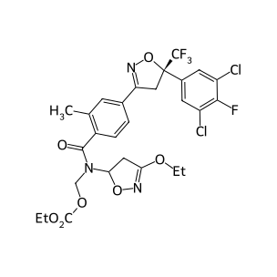 CCOC(=O)OCN(C(=O)c1ccc(C2=NO[C@@](c3cc(Cl)c(F)c(Cl)c3)(C(F)(F)F)C2)cc1C)C1CC(OCC)=NO1